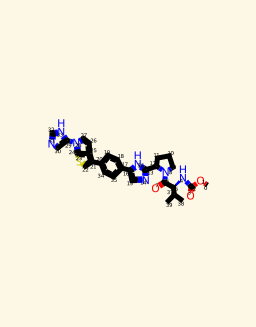 COC(=O)N[C@H](C(=O)N1CCCC1c1ncc(-c2ccc(-c3csc4c3ccn4-c3cnc[nH]3)cc2)[nH]1)C(C)C